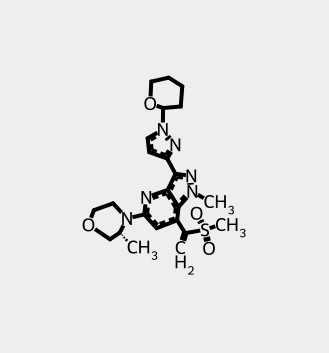 C=C(c1cc(N2CCOC[C@H]2C)nc2c(-c3ccn(C4CCCCO4)n3)nn(C)c12)S(C)(=O)=O